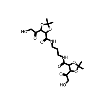 CC1(C)OC(C(=O)CO)C(C(=O)NCCCNC(=O)C2OC(C)(C)OC2C(=O)CO)O1